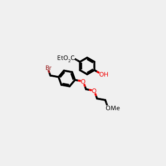 CCOC(=O)c1ccc(O)cc1.COCCOCOc1ccc(CBr)cc1